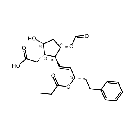 CCC(=O)O[C@H](C=C[C@H]1[C@H](CC(=O)O)[C@H](O)C[C@@H]1OC=O)CCc1ccccc1